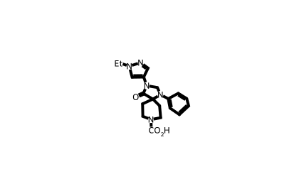 CCn1cc(N2CN(c3ccccc3)C3(CCN(C(=O)O)CC3)C2=O)cn1